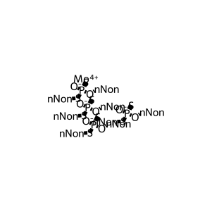 CCCCCCCCCOP([O-])(=S)SCCCCCCCCC.CCCCCCCCCOP([O-])(=S)SCCCCCCCCC.CCCCCCCCCOP([O-])(=S)SCCCCCCCCC.CCCCCCCCCOP([O-])(=S)SCCCCCCCCC.[Mo+4]